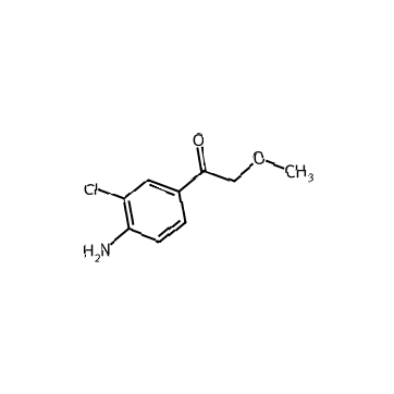 COCC(=O)c1ccc(N)c(Cl)c1